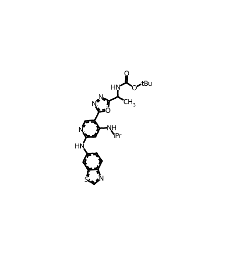 CC(C)Nc1cc(Nc2ccc3ncsc3c2)ncc1-c1nnc(C(C)NC(=O)OC(C)(C)C)o1